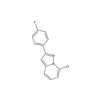 Fc1ccc(-c2cc3cccc(Cl)n3n2)cc1